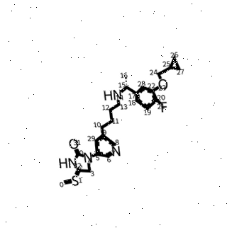 C=S=C1CN(c2cncc(CCCCN[C@H](C)c3ccc(F)c(OCC4CC4)c3)c2)C(=O)N1